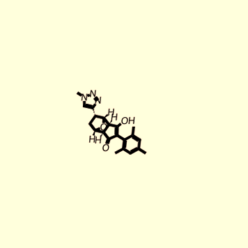 Cc1cc(C)c(C2=C(O)[C@@H]3[C@@H]4O[C@@H](C[C@@H]4c4cn(C)nn4)[C@@H]3C2=O)c(C)c1